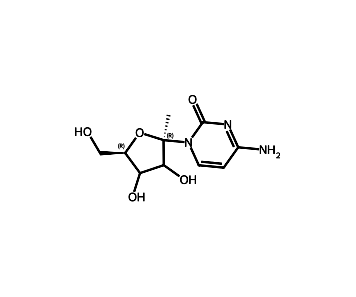 C[C@@]1(n2ccc(N)nc2=O)O[C@H](CO)C(O)C1O